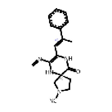 C=NC1=C(/C=C(\C)c2ccccc2)NC(=O)[C@@]2(CCN(C#N)C2)N1